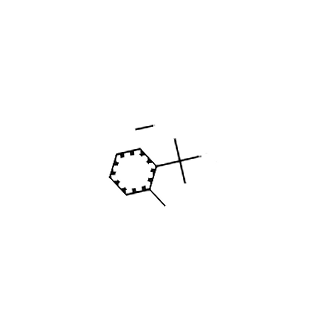 CC(=O)O.Cc1ccccc1C(C)(C)P